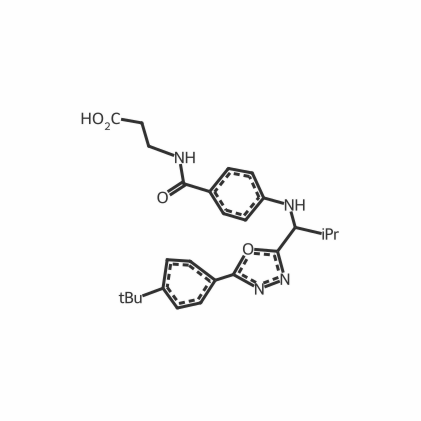 CC(C)C(Nc1ccc(C(=O)NCCC(=O)O)cc1)c1nnc(-c2ccc(C(C)(C)C)cc2)o1